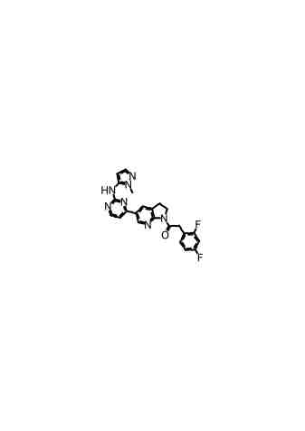 Cn1nccc1Nc1nccc(-c2cnc3c(c2)CCN3C(=O)Cc2ccc(F)cc2F)n1